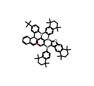 Cc1cc2c3c(c1)N(c1ccc4c(c1)C(C)(C)CCC4(C)C)c1c(oc4cc5c(cc14)C(C)(C)CCC5(C)C)B3c1cc3c(cc1N2c1ccc(C(C)(C)C)cc1C1C=CC=C2C=CC=CC21)C(C)(C)CCC3(C)C